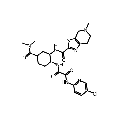 CN1CCc2nc(C(=O)NC3CC(C(=O)N(C)C)CC[C@@H]3NC(=O)C(=O)Nc3ccc(Cl)cn3)sc2C1